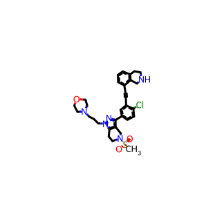 CS(=O)(=O)N1CCc2c(c(-c3ccc(Cl)c(C#Cc4cccc5c4CNCC5)c3)nn2CCCN2CCOCC2)C1